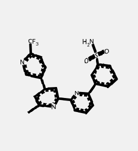 Cc1cc(-c2ccc(C(F)(F)F)nc2)cc(-c2cccc(-c3cccc(S(N)(=O)=O)c3)n2)n1